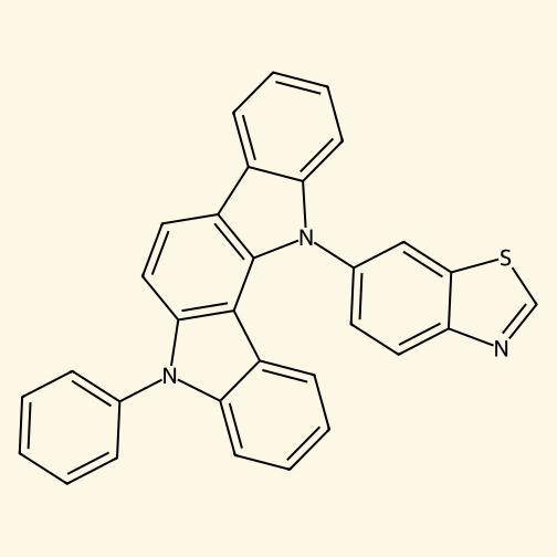 c1ccc(-n2c3ccccc3c3c2ccc2c4ccccc4n(-c4ccc5ncsc5c4)c23)cc1